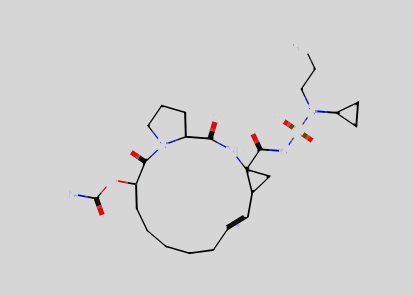 N#CCCN(C1CC1)S(=O)(=O)NC(=O)C12CC1/C=C/CCCCCC(OC(N)=O)C(=O)N1CCCC1C(=O)N2